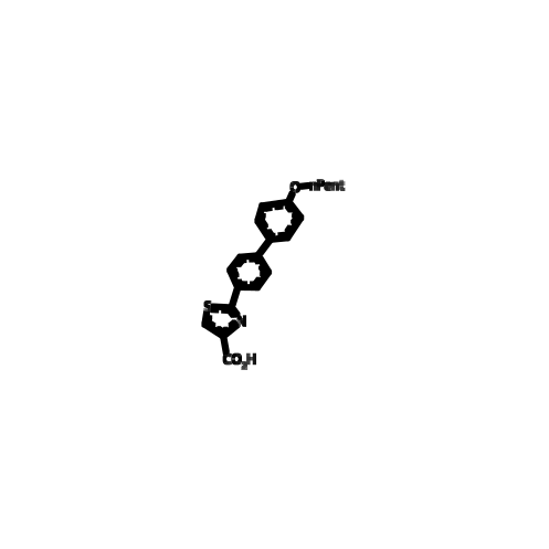 CCCCCOc1ccc(-c2ccc(-c3nc(C(=O)O)cs3)cc2)cc1